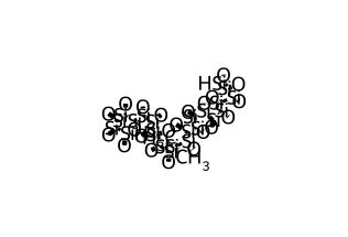 C[Si](C)([Si](=O)[Si](=O)[Si](=O)[Si](=O)[Si](=O)[Si](=O)[Si](=O)[Si](=O)[Si](=O)[Si](=O)[SiH]=O)[Si](=O)[Si](=O)[Si](=O)[Si](=O)[Si](=O)[Si](=O)[Si](=O)[Si](=O)[Si](=O)[Si](=O)[SiH]=O